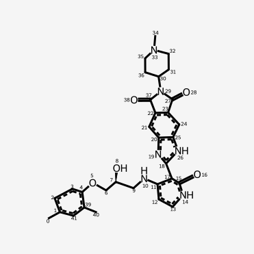 Cc1ccc(OC[C@@H](O)CNc2cc[nH]c(=O)c2-c2nc3cc4c(cc3[nH]2)C(=O)N(C2CCN(C)CC2)C4=O)c(C)c1